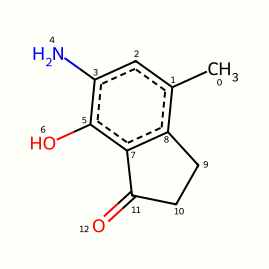 Cc1cc(N)c(O)c2c1CCC2=O